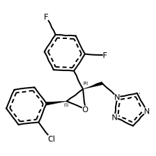 Fc1ccc([C@]2(Cn3[c]ncn3)O[C@H]2c2ccccc2Cl)c(F)c1